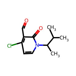 CC(C)C(C)n1ccc(Cl)c(C=O)c1=O